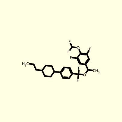 CCCC1CCC(c2ccc(C(F)(F)OC(C)c3cc(F)c(OC(F)F)c(F)c3)cc2)CC1